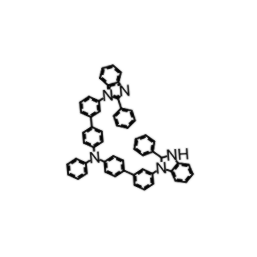 c1ccc(-c2nc3ccccc3n2-c2cccc(-c3ccc(N(c4ccccc4)c4ccc(-c5cccc(N6c7ccccc7NC6c6ccccc6)c5)cc4)cc3)c2)cc1